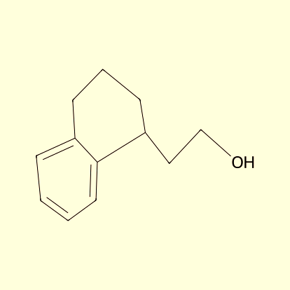 OCCC1CCCc2ccccc21